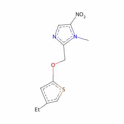 CCc1csc(OCc2ncc([N+](=O)[O-])n2C)c1